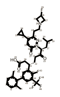 Cc1cccc(C)c1-c1cc([C@@H](CCC(=O)[C@H](CC(C)C)n2nc(CCN3CC(F)C3)c(C3CC3)cc2=O)CC(=O)O)c(F)c(C(F)(F)F)c1